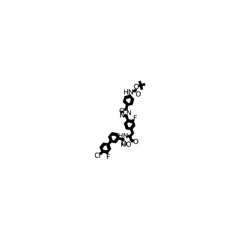 CC(C)(C)OC(=O)Nc1ccc(-c2nc(-c3ccc(CC(NC(=O)c4cccc(-c5ccc(Cl)c(F)c5)c4)C(=O)O)cc3F)no2)cc1